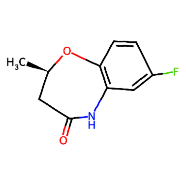 C[C@@H]1CC(=O)Nc2cc(F)ccc2O1